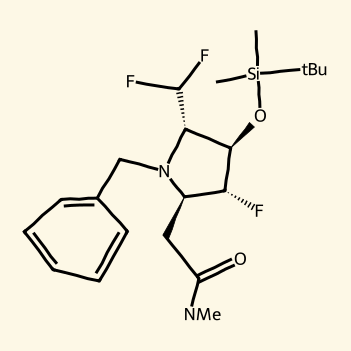 CNC(=O)C[C@@H]1[C@@H](F)[C@H](O[Si](C)(C)C(C)(C)C)[C@@H](C(F)F)N1Cc1ccccc1